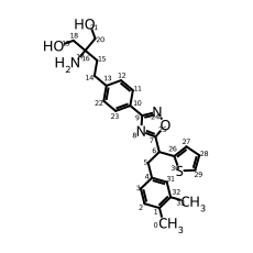 Cc1ccc(CC(c2nc(-c3ccc(CCC(N)(CO)CO)cc3)no2)c2cccs2)cc1C